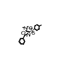 Cc1ccc(S(=O)(=O)c2nc(-c3ccccc3)oc2N(C)C)cc1